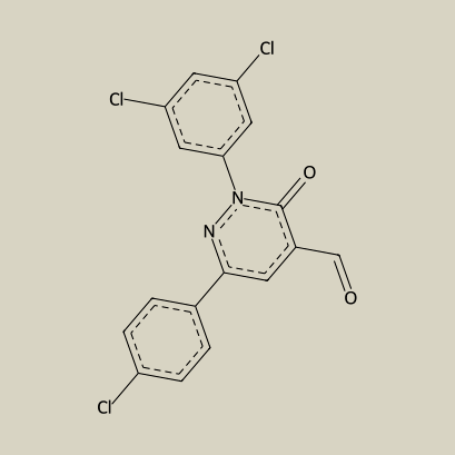 O=Cc1cc(-c2ccc(Cl)cc2)nn(-c2cc(Cl)cc(Cl)c2)c1=O